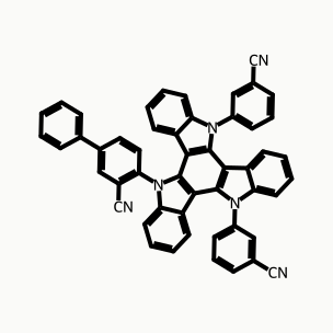 N#Cc1cccc(-n2c3ccccc3c3c2c2c4ccccc4n(-c4ccc(-c5ccccc5)cc4C#N)c2c2c4ccccc4n(-c4cccc(C#N)c4)c32)c1